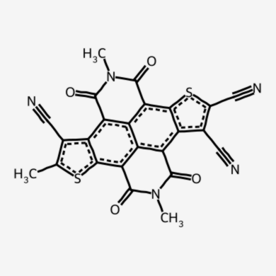 Cc1sc2c3c4c(c5c(C#N)c(C#N)sc5c5c4c(c2c1C#N)C(=O)N(C)C5=O)C(=O)N(C)C3=O